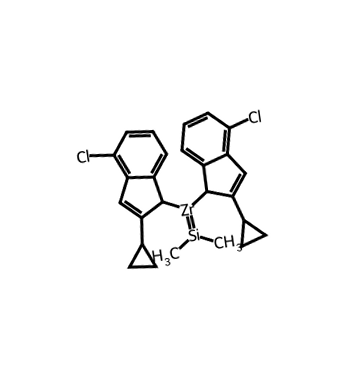 C[Si](C)=[Zr]([CH]1C(C2CC2)=Cc2c(Cl)cccc21)[CH]1C(C2CC2)=Cc2c(Cl)cccc21